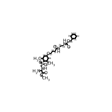 COC(=O)C(N)NCS(=O)(=O)c1c(C)cc(OCCCC(=O)NCCNC(=O)OCc2ccccc2)cc1C